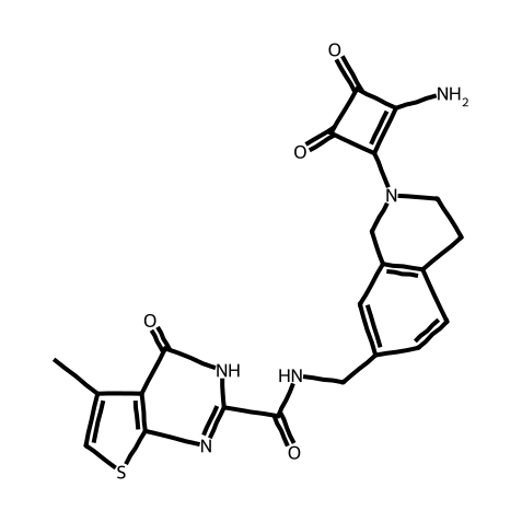 Cc1csc2nc(C(=O)NCc3ccc4c(c3)CN(c3c(N)c(=O)c3=O)CC4)[nH]c(=O)c12